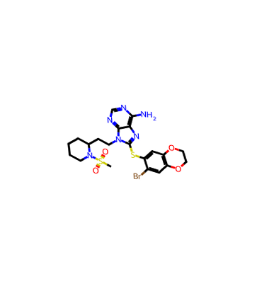 CS(=O)(=O)N1CCCCC1CCn1c(Sc2cc3c(cc2Br)OCCO3)nc2c(N)ncnc21